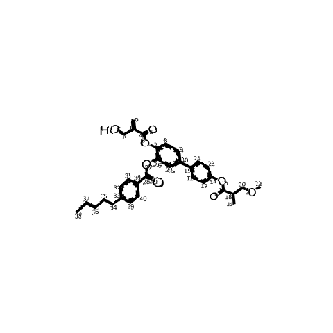 C=C(CO)C(=O)Oc1ccc(-c2ccc(OC(=O)C(C)COC)cc2)cc1OC(=O)c1ccc(CCCCC)cc1